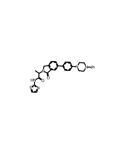 CC(C)N1CCN(c2ccc(-c3ccc4c(c3)C(=O)N(C(C)C(=O)Nc3nccs3)C4)cc2)CC1